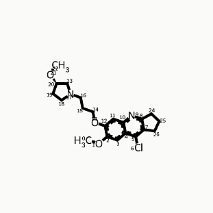 COc1cc2c(Cl)c3c(nc2cc1OCCCN1CC[C@@H](OC)C1)CCC3